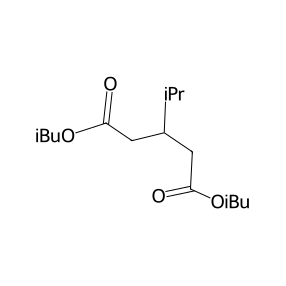 CC(C)COC(=O)CC(CC(=O)OCC(C)C)C(C)C